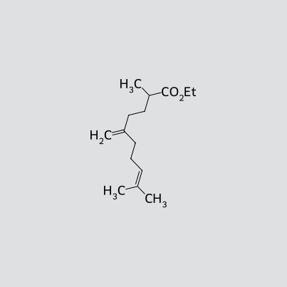 C=C(CCC=C(C)C)CCC(C)C(=O)OCC